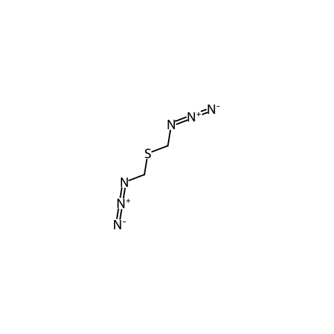 [N-]=[N+]=NCSCN=[N+]=[N-]